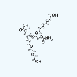 NC(=O)OCC(OCCOCCOCCO)SSC(COC(N)=O)OCCOCCOCCO